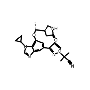 C[C@@H](Oc1cc(-c2ccn(C(C)(C)C#N)n2)cc2ncn(C3CC3)c12)[C@H]1CNC(=O)C1